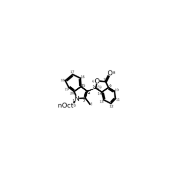 CCCCCCCCn1c(C)c([C@H]2OC(=O)c3ccccc32)c2ccccc21